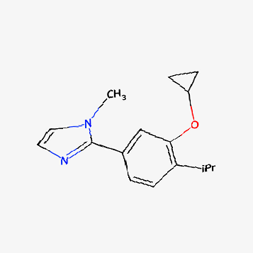 CC(C)c1ccc(-c2nccn2C)cc1OC1CC1